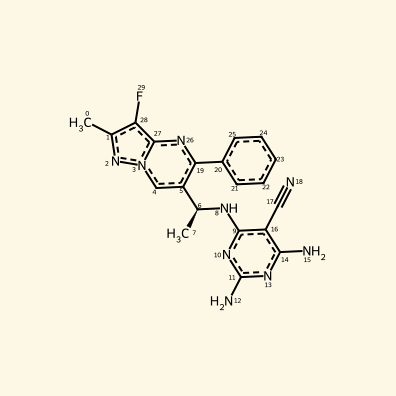 Cc1nn2cc([C@H](C)Nc3nc(N)nc(N)c3C#N)c(-c3ccccc3)nc2c1F